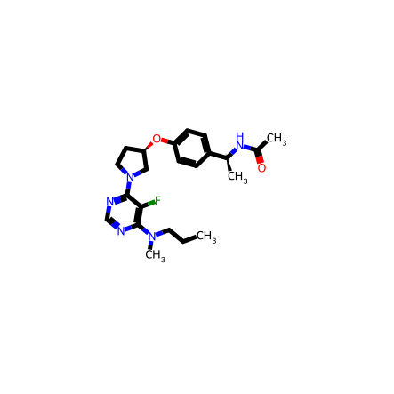 CCCN(C)c1ncnc(N2CC[C@@H](Oc3ccc([C@H](C)NC(C)=O)cc3)C2)c1F